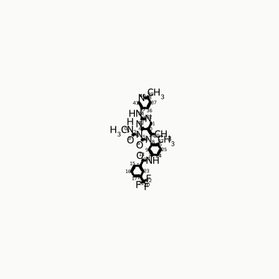 CNC(=O)N1C(=O)N(c2cc(NC(=O)c3cccc(C(F)(F)F)c3)ccc2C)C(C)=C2CN=C(Nc3ccc(C)nc3)N=C21